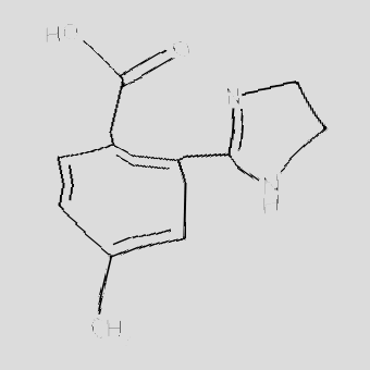 Cc1ccc(C(=O)O)c(C2=NCCN2)c1